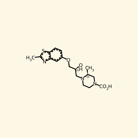 Cc1nc2cc(OC[C@@H](O)CN3CCN(C(=O)O)C[C@@H]3C)ccc2s1